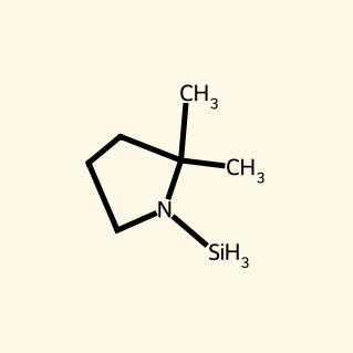 CC1(C)CCCN1[SiH3]